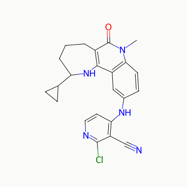 Cn1c(=O)c2c(c3cc(Nc4ccnc(Cl)c4C#N)ccc31)NC(C1CC1)CCC2